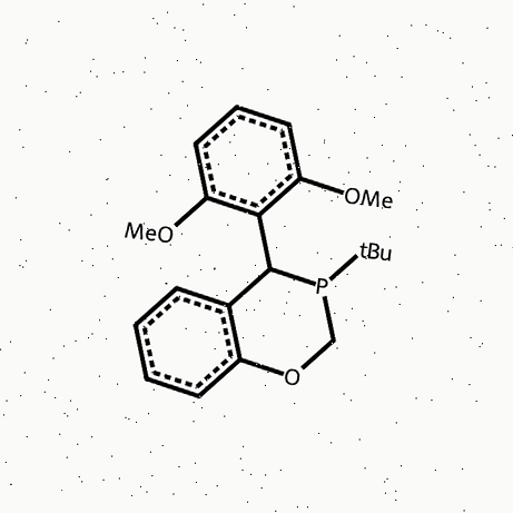 COc1cccc(OC)c1C1c2ccccc2OCP1C(C)(C)C